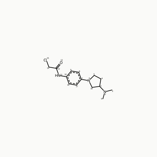 CN(C)C1CCN(c2ccc(NC(=O)CCl)cc2)C1